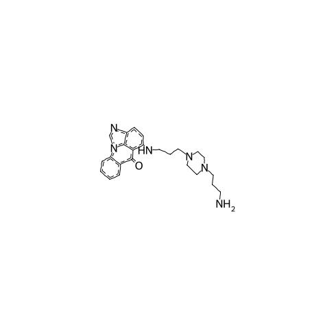 NCCCN1CCN(CCCNc2ccc3ncn4c5ccccc5c(=O)c2c34)CC1